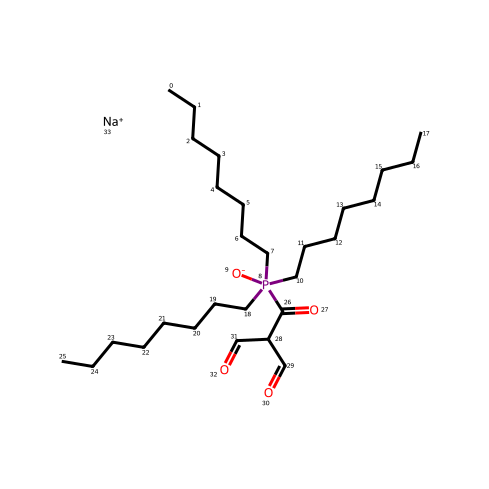 CCCCCCCCP([O-])(CCCCCCCC)(CCCCCCCC)C(=O)C(C=O)C=O.[Na+]